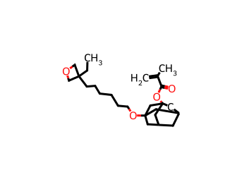 C=C(C)C(=O)OC12CC3CC(CC(OCCCCCCC4(CC)COC4)(C3)C1)C2